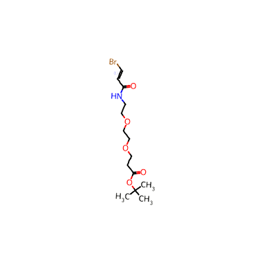 CC(C)(C)OC(=O)CCOCCOCCNC(=O)/C=C/Br